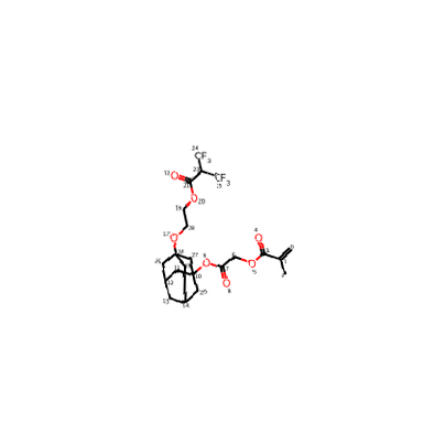 C=C(C)C(=O)OCC(=O)OC12CC3CC(CC(OCCOC(=O)C(C(F)(F)F)C(F)(F)F)(C3)C1)C2